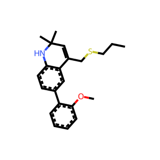 CCCSCC1=CC(C)(C)Nc2ccc(-c3ccccc3OC)cc21